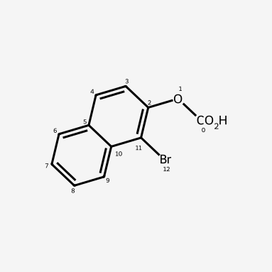 O=C(O)Oc1ccc2ccccc2c1Br